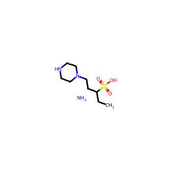 CCC(CCN1CCNCC1)S(=O)(=O)O.N